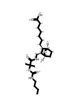 CCCCNC(=O)OC(C)(C)C(=O)NC[C@H]1[C@@H](CCCCCCC(=O)O)[C@H]2CC[C@@H]1O2